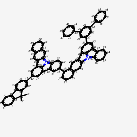 CC1(C)c2ccccc2-c2ccc(-c3cc4c5cc(-c6cccc7cc8c(cc67)c6cc(-c7cc(-c9ccccc9)cc(-c9ccccc9)c7)cc7c9ccccc9n8c76)ccc5n5c6cc7ccccc7cc6c(c3)c45)cc21